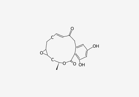 C[C@H]1CC2OC2CC/C=C/C(=O)Cc2cc(O)cc(O)c2C(=O)O1